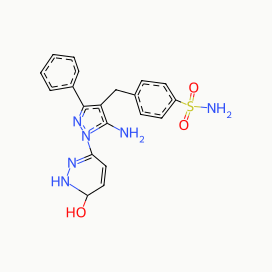 Nc1c(Cc2ccc(S(N)(=O)=O)cc2)c(-c2ccccc2)nn1C1=NNC(O)C=C1